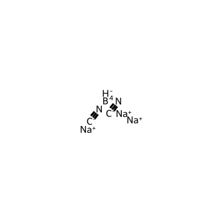 [BH4-].[C-]#N.[C-]#N.[Na+].[Na+].[Na+]